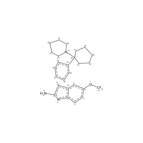 Nc1nc2ccc(OC(F)(F)F)cc2s1.c1ccc(C2(N3CCCCC3)CCCCC2)cc1